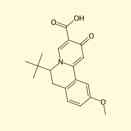 COc1ccc2c(c1)-c1cc(=O)c(C(=O)O)cn1C(C(C)(C)C)C2